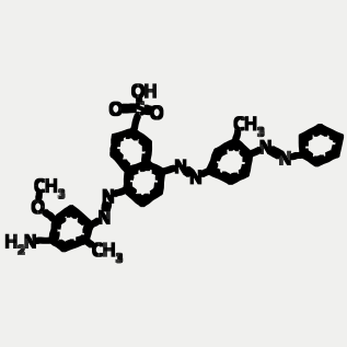 COc1cc(N=Nc2ccc(N=Nc3ccc(N=Nc4ccccc4)c(C)c3)c3cc(S(=O)(=O)O)ccc23)c(C)cc1N